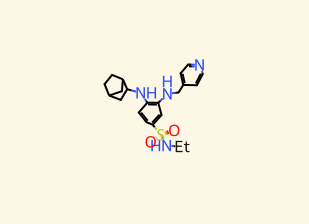 CCNS(=O)(=O)c1ccc(NC2CC3CCC2C3)c(NCc2ccncc2)c1